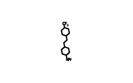 CCCC1CCC(CCC2CCC(C(F)(F)F)CC2)CC1